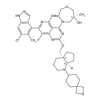 COc1nc(-c2c(C)c(Cl)cc3[nH]ncc23)c(F)c2nc(OC[C@]34CCC[C@H]3N(C3CCC5(CC3)COC5)CCC4)nc(N3CCOC[C@@](C)(O)C3)c12